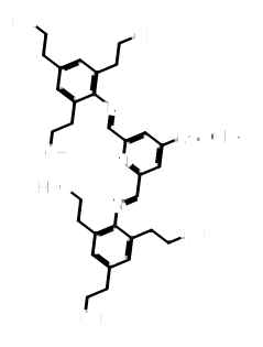 CCCc1cc(CCC)c(N=Cc2cc(Cl)cc(C=Nc3c(CCC)cc(CCC)cc3CCC)n2)c(CCC)c1.[Cl-].[Cl-].[Cl-].[V+3]